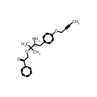 CC#CCOc1ccc(C[C@H](N)C(C)(C)OCC(=O)c2ccccc2)cc1